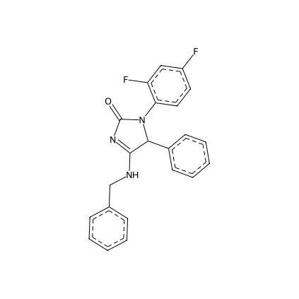 O=C1N=C(NCc2ccccc2)C(c2ccccc2)N1c1ccc(F)cc1F